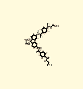 O=C(Nc1ccc(C2(c3ccc(NC(=O)c4ccc(NCCO)cc4)cc3)OCCO2)cc1)c1ccc(NCCO)cc1